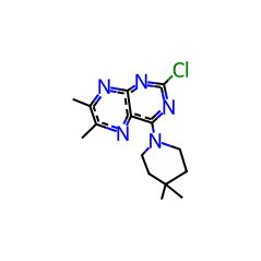 Cc1nc2nc(Cl)nc(N3CCC(C)(C)CC3)c2nc1C